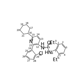 CCc1cccc(CC)c1NC(=O)Nc1ccc(C2CCCCC2)nc1-c1ccccc1Cl